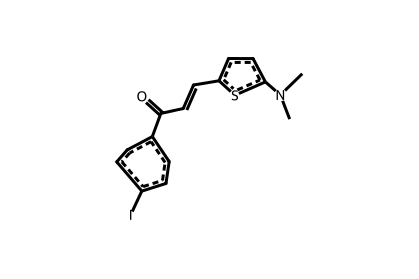 CN(C)c1ccc(C=CC(=O)c2ccc(I)cc2)s1